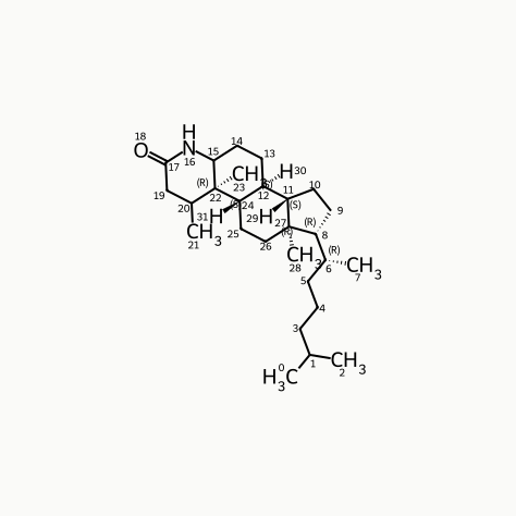 CC(C)CCC[C@@H](C)[C@H]1CC[C@H]2[C@@H]3CCC4NC(=O)CC(C)[C@]4(C)[C@H]3CC[C@]12C